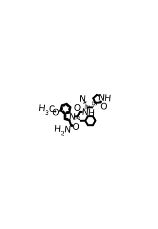 COc1cccc2c1cc(C(N)=O)n2[C@@H](CC1CCCCC1)C(=O)N[C@H](C#N)C[C@@H]1CCNC1=O